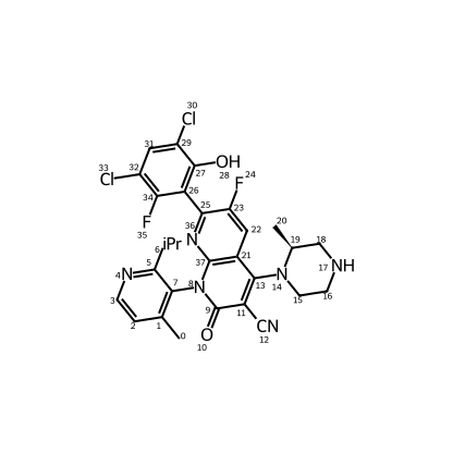 Cc1ccnc(C(C)C)c1-n1c(=O)c(C#N)c(N2CCNC[C@@H]2C)c2cc(F)c(-c3c(O)c(Cl)cc(Cl)c3F)nc21